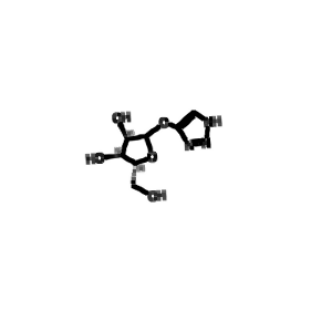 OC[C@H]1OC(Oc2c[nH]nn2)[C@H](O)[C@@H]1O